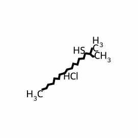 CCCCCCCCCCCCCCCC(S)C(CC)CC.Cl